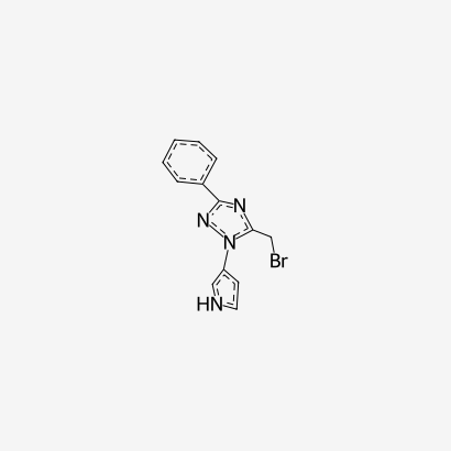 BrCc1nc(-c2ccccc2)nn1-c1cc[nH]c1